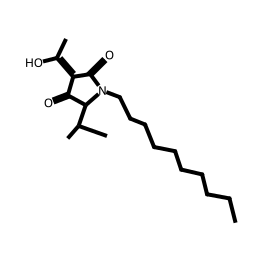 CCCCCCCCCCN1C(=O)C(=C(C)O)C(=O)C1C(C)C